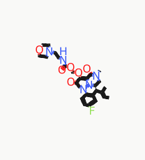 C/C=C(\C)C(c1cccc(F)c1)[C@H]1CN(C)C(=O)c2c(OCOC(=O)NCCN3CCOCC3)c(=O)cnn21